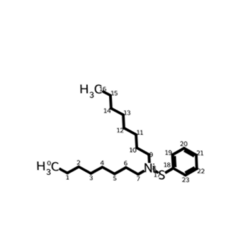 CCCCCCC[CH2][Ni]([CH2]CCCCCCC)[S]c1ccccc1